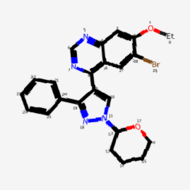 CCOc1cc2ncnc(-c3cn(C4CCCCO4)nc3-c3ccccc3)c2cc1Br